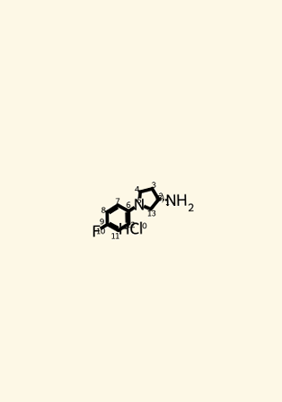 Cl.N[C@H]1CCN(c2ccc(F)cc2)C1